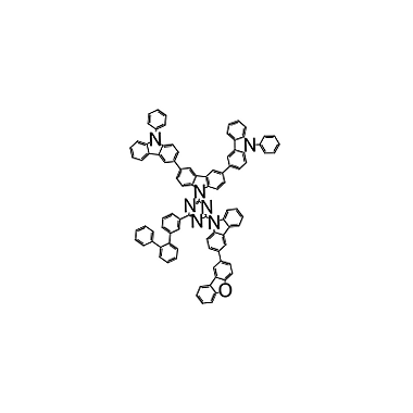 c1ccc(-c2ccccc2-c2cccc(-c3nc(-n4c5ccccc5c5cc(-c6ccc7oc8ccccc8c7c6)ccc54)nc(-n4c5ccc(-c6ccc7c(c6)c6ccccc6n7-c6ccccc6)cc5c5cc(-c6ccc7c(c6)c6ccccc6n7-c6ccccc6)ccc54)n3)c2)cc1